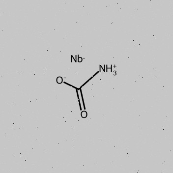 [NH3+]C(=O)[O-].[Nb]